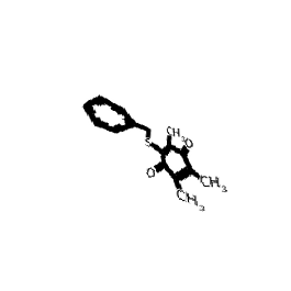 CC1=C(C)C(=O)C(SCc2ccccc2)=C(C)C1=O